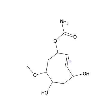 COC1CC(OC(N)=O)/C=C/C(O)CC1O